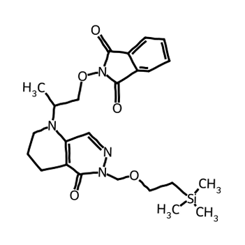 CC(CON1C(=O)c2ccccc2C1=O)N1CCCc2c1cnn(COCC[Si](C)(C)C)c2=O